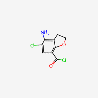 Nc1c(Cl)cc(C(=O)Cl)c2c1CCO2